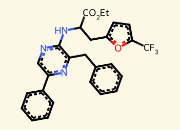 CCOC(=O)C(Cc1ccc(C(F)(F)F)o1)Nc1ncc(-c2ccccc2)nc1Cc1ccccc1